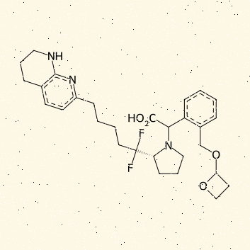 O=C(O)C(c1ccccc1COC1CCO1)N1CCC[C@@H]1C(F)(F)CCCCc1ccc2c(n1)NCCC2